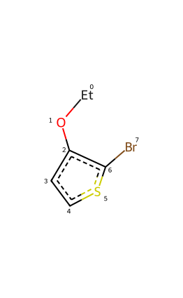 CCOc1ccsc1Br